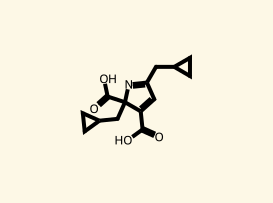 O=C(O)C1=CC(CC2CC2)=NC1(CC1CC1)C(=O)O